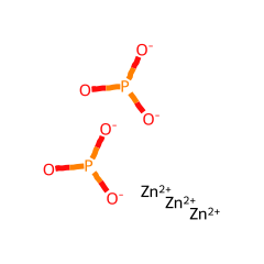 [O-]P([O-])[O-].[O-]P([O-])[O-].[Zn+2].[Zn+2].[Zn+2]